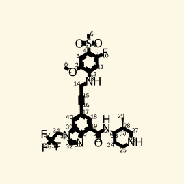 COc1cc(S(C)(=O)=O)c(F)cc1NCC#Cc1cc(C(=O)N[C@H]2CCNC[C@@H]2C)c2ncn(CC(F)(F)F)c2c1